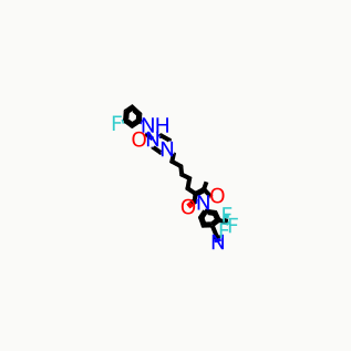 CC1=C(CCCCCCN2CCN(C(=O)Nc3cccc(F)c3)CC2)C(=O)N(c2ccc(C#N)c(C(F)(F)F)c2)C1=O